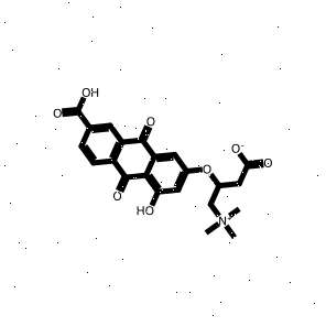 C[N+](C)(C)CC(CC(=O)[O-])Oc1cc(O)c2c(c1)C(=O)c1cc(C(=O)O)ccc1C2=O